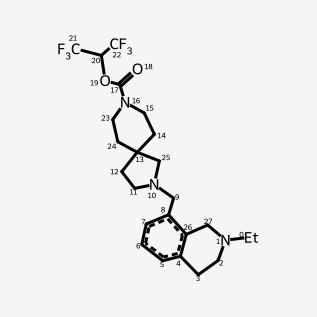 CCN1CCc2cccc(CN3CCC4(CCN(C(=O)OC(C(F)(F)F)C(F)(F)F)CC4)C3)c2C1